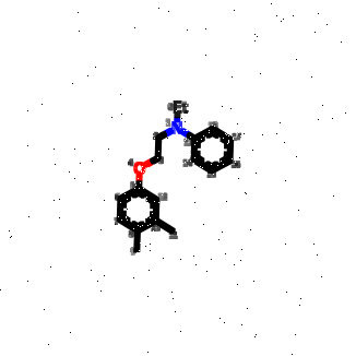 CCN(CCOc1ccc(C)c(C)c1)c1ccccc1